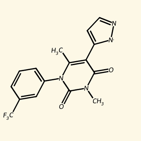 Cc1c(C2=CC=N[N]2)c(=O)n(C)c(=O)n1-c1cccc(C(F)(F)F)c1